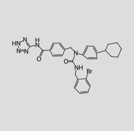 O=C(Nc1nn[nH]n1)c1ccc(CN(C(=O)NCc2ccccc2Br)c2ccc(C3CCCCC3)cc2)cc1